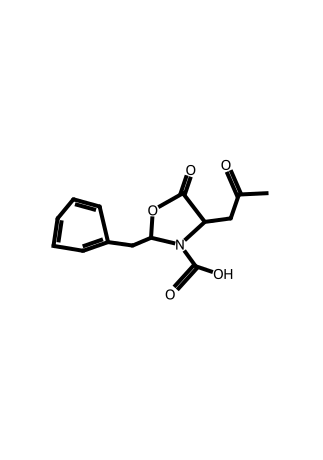 CC(=O)CC1C(=O)OC(Cc2ccccc2)N1C(=O)O